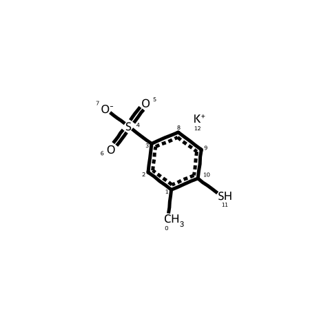 Cc1cc(S(=O)(=O)[O-])ccc1S.[K+]